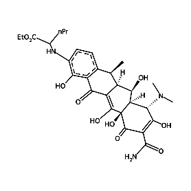 CCCC(Nc1ccc2c(c1O)C(=O)C1=C(O)[C@@]3(O)C(=O)C(C(N)=O)=C(O)[C@@H](N(C)C)[C@@H]3[C@H](O)[C@@H]1[C@@H]2C)C(=O)OCC